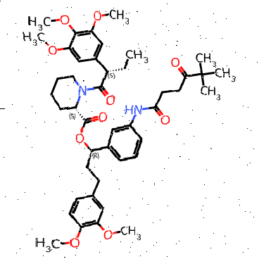 CC[C@H](C(=O)N1CCCC[C@H]1C(=O)O[C@H](CCc1ccc(OC)c(OC)c1)c1cccc(NC(=O)CCC(=O)C(C)(C)C)c1)c1cc(OC)c(OC)c(OC)c1